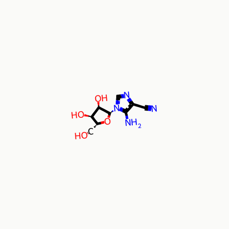 N#Cc1ncn([C@@H]2O[C@H](CO)[C@@H](O)[C@H]2O)c1N